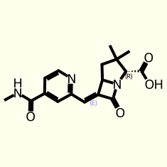 CNC(=O)c1ccnc(/C=C2/C(=O)N3C2CC(C)(C)[C@@H]3C(=O)O)c1